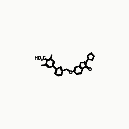 Cc1cc(-c2cccc(COc3ccc4c(c3)CN(C3CCCC3)C4=O)c2)cc(C)c1C(=O)O